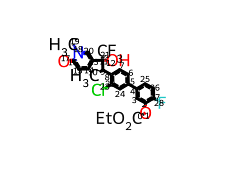 CCOC(=O)Oc1cc(-c2ccc(C(C)C(O)(c3ccc(=O)n(C)c3)C(F)(F)F)c(Cl)c2)ccc1F